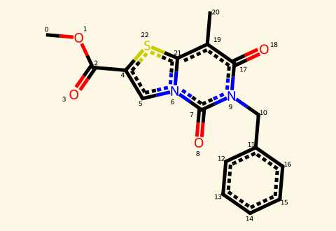 COC(=O)c1cn2c(=O)n(Cc3ccccc3)c(=O)c(C)c2s1